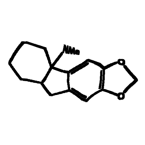 CNC12CCCCC1Cc1cc3c(cc12)OCO3